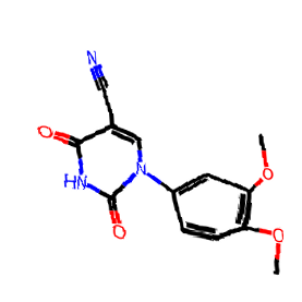 COc1ccc(-n2cc(C#N)c(=O)[nH]c2=O)cc1OC